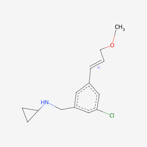 COC/C=C/c1cc(Cl)cc(CNC2CC2)c1